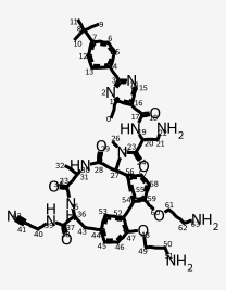 Cc1nc(-c2ccc(C(C)(C)C)cc2)ncc1C(=O)NC(CN)C(=O)N(C)C1C(=O)NC(C)C(=O)NC(C(=O)NCC#N)Cc2ccc(OCCN)c(c2)-c2cc1ccc2OCCN